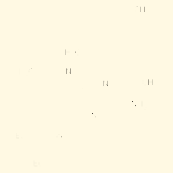 CCC(CC)Oc1cc(C)nc2c1nc(N)n2-c1c(C)cc(C)cc1C